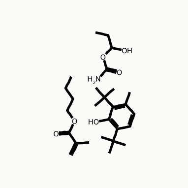 C=C(C)C(=O)OCCCC.CCC(O)OC(N)=O.Cc1ccc(C(C)(C)C)c(O)c1C(C)(C)C